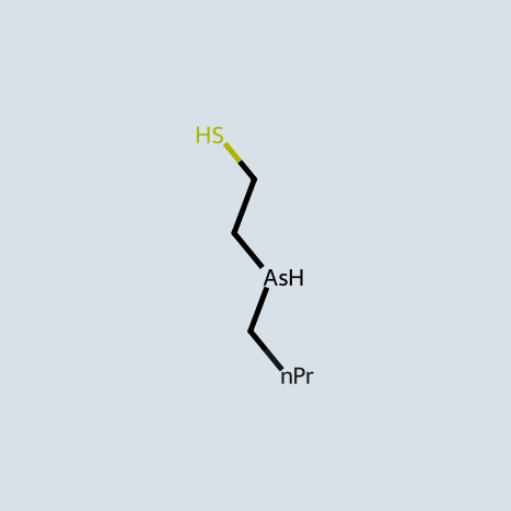 CCCC[AsH]CCS